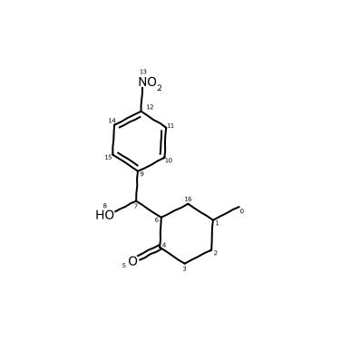 CC1CCC(=O)C(C(O)c2ccc([N+](=O)[O-])cc2)C1